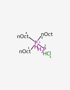 CCCCCCCC[PH](P)(CCCCCCCC)CCCCCCCC.Cl